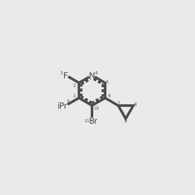 CC(C)c1c(F)ncc(C2CC2)c1Br